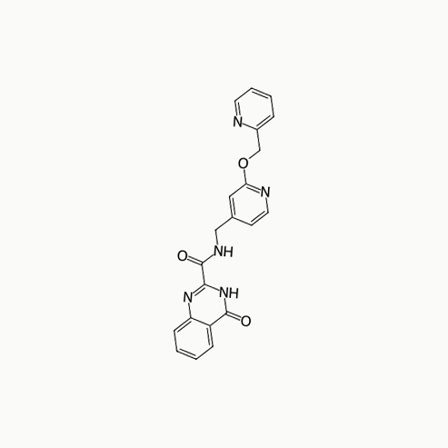 O=C(NCc1ccnc(OCc2ccccn2)c1)c1nc2ccccc2c(=O)[nH]1